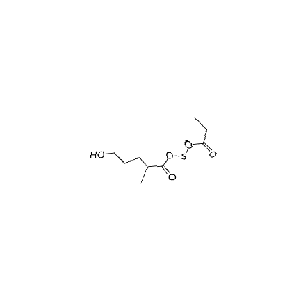 CCC(=O)OSOC(=O)C(C)CCCO